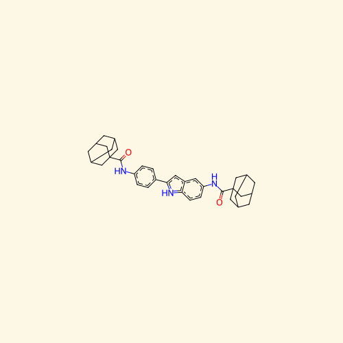 O=C(Nc1ccc(-c2cc3cc(NC(=O)C45CC6CC(CC(C6)C4)C5)ccc3[nH]2)cc1)C12CC3CC(CC(C3)C1)C2